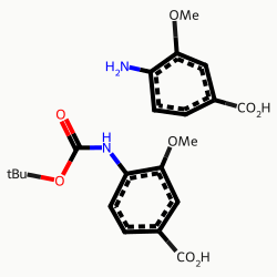 COc1cc(C(=O)O)ccc1N.COc1cc(C(=O)O)ccc1NC(=O)OC(C)(C)C